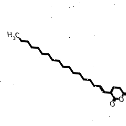 CCCCCCCCCCCCCCCCC=CC1CCC(=O)OC1=O